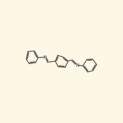 C(=N\c1ccccc1)/c1ccc(/C=N/c2ccccc2)cc1